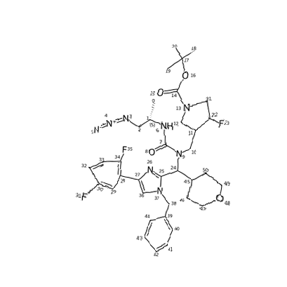 C[C@@H](CN=[N+]=[N-])NC(=O)N(CC1CN(C(=O)OC(C)(C)C)CC1F)C(c1nc(-c2cc(F)ccc2F)cn1Cc1ccccc1)C1CCOCC1